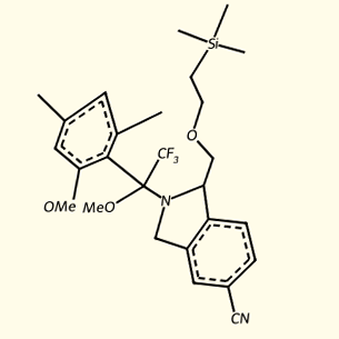 COc1cc(C)cc(C)c1C(OC)(N1Cc2cc(C#N)ccc2C1COCC[Si](C)(C)C)C(F)(F)F